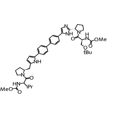 COC(=O)NC(C(=O)N1CCC[C@H]1Cc1ccc(-c2ccc(-c3ccc(-c4cnc([C@@H]5CCCN5C(=O)[C@H](COC(C)(C)C)NC(=O)OC)[nH]4)cc3)cc2)[nH]1)C(C)C